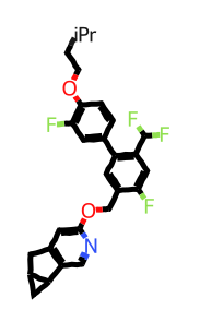 CC(C)CCOc1ccc(-c2cc(COc3cc4c(cn3)C3CC3C4)c(F)cc2C(F)F)cc1F